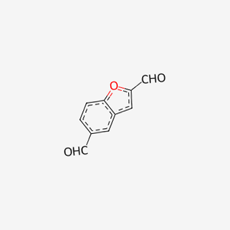 O=Cc1ccc2oc(C=O)cc2c1